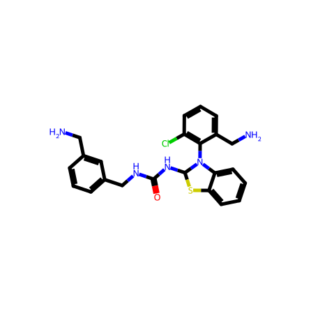 NCc1cccc(CNC(=O)NC2Sc3ccccc3N2c2c(Cl)cccc2CN)c1